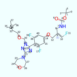 CC(C)(C)OC(=O)NC/C(=C\F)COc1cc(F)c(-c2nc(N3CCOCC3)nn2COCC[Si](C)(C)C)c(F)c1